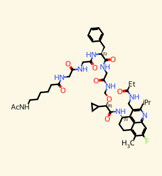 CCC(=O)NCc1c(C(C)C)nc2cc(F)c(C)c3c2c1[C@@H](NC(=O)[C@H](OCNC(=O)CNC(=O)[C@H](Cc1ccccc1)NC(=O)CNC(=O)CNC(=O)CCCCCNC(C)=O)C1CC1)CC3